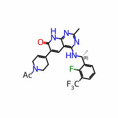 CC(=O)N1CC=C(c2cc3c(N[C@H](C)c4cccc(C(F)(F)F)c4F)nc(C)nc3[nH]c2=O)CC1